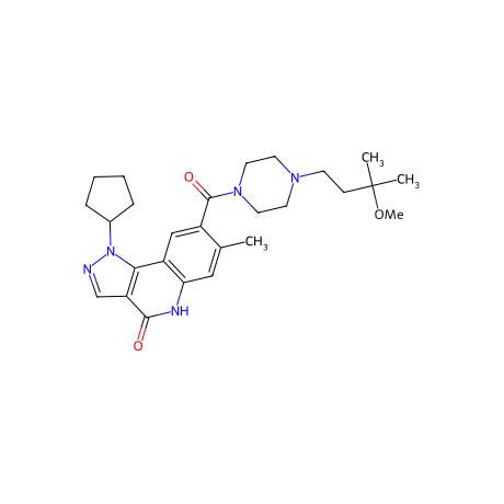 COC(C)(C)CCN1CCN(C(=O)c2cc3c(cc2C)[nH]c(=O)c2cnn(C4CCCC4)c23)CC1